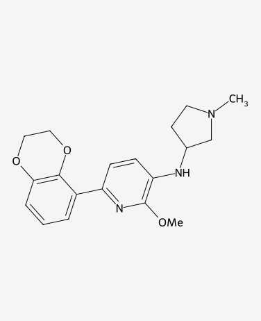 COc1nc(-c2cccc3c2OCCO3)ccc1NC1CCN(C)C1